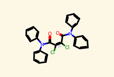 O=C(/C(Cl)=C(/Cl)C(=O)N(c1ccccc1)c1ccccc1)N(c1ccccc1)c1ccccc1